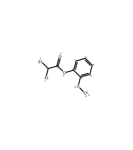 CCC(CC)C(=O)Oc1ccccc1OC(F)(F)F